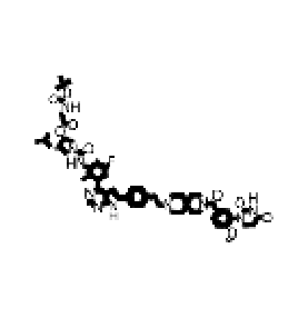 COc1ccc(C(=O)N2CCC3(CCN(CCc4ccc(-c5cc6c(-c7cc(F)cc(NC(=O)N8C[C@H](CC(C)C)[C@@H](OC(=O)CNC(=O)OC(C)(C)C)C8)c7C)ncnc6[nH]5)cc4)CC3)CC2)cc1N1CCC(=O)NC1=O